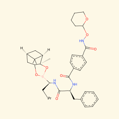 CC(C)C[C@H](NC(=O)[C@H](Cc1ccccc1)NC(=O)c1ccc(C(=O)NOC2CCCCO2)cc1)B1OC2C[C@H]3C[C@H](C3(C)C)[C@@]2(C)O1